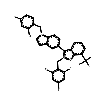 Fc1cc(F)c(Cn2nc3c(C(F)(F)F)cccc3c2-c2ccc3c(ccn3Cc3ccc(F)cc3Cl)c2)c(F)c1